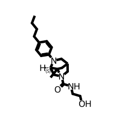 CCCCc1ccc(N2CC3CN(C(=O)NCCO)C[C@@H]2C(C)(C)C3)cc1